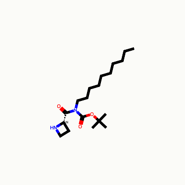 CCCCCCCCCCN(C(=O)OC(C)(C)C)C(=O)[C@@H]1CCN1